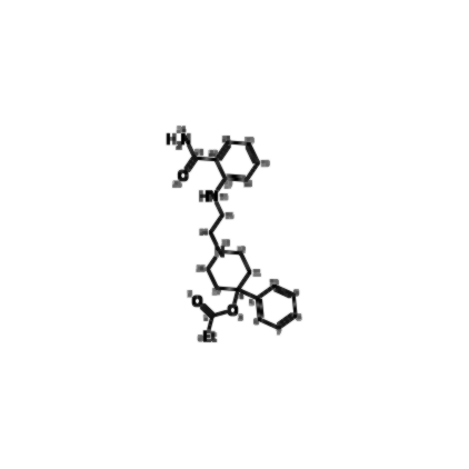 CCC(=O)OC1(c2ccccc2)CCN(CCNc2ccccc2C(N)=O)CC1